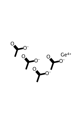 CC(=O)[O-].CC(=O)[O-].CC(=O)[O-].CC(=O)[O-].[Ge+4]